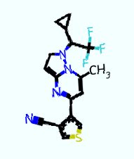 CC1=CC(c2cscc2C#N)=NC2=CCN(C(C3CC3)C(F)(F)F)N12